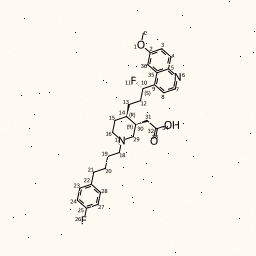 COc1ccc2nccc([C@@H](F)CC[C@@H]3CCN(CCCCc4ccc(F)cc4)C[C@@H]3CC(=O)O)c2c1